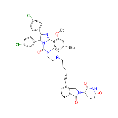 CCOc1cc(C(C)(C)C)ccc1C1=NC(c2ccc(Cl)cc2)C(c2ccc(Cl)cc2)N1C(=O)N1CCN(CCCC#Cc2cccc3c2CN(C2CCC(=O)NC2=O)C3=O)CC1